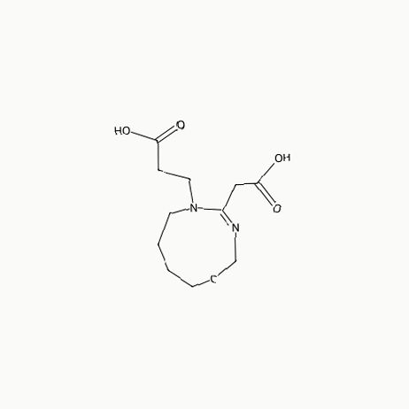 O=C(O)CCN1CCCCCCN=C1CC(=O)O